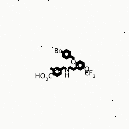 Cc1cc(CNCCc2cc(OC(F)(F)F)ccc2OCc2ccc(Br)cc2)ccc1C(=O)O